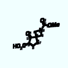 COC(=O)N1CC2(C1)SCC(C(=O)O)C2=O